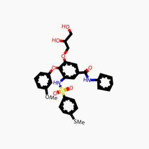 COc1cccc(Oc2c(NS(=O)(=O)c3ccc(SC)cc3)cc(C(=O)Nc3ccccc3)cc2OCC(O)CO)c1